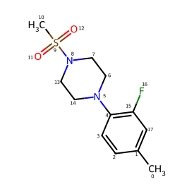 Cc1ccc(N2CCN(S(C)(=O)=O)CC2)c(F)c1